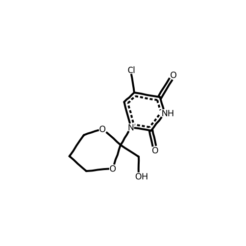 O=c1[nH]c(=O)n(C2(CO)OCCCO2)cc1Cl